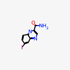 NC(=O)c1cnc2cc(I)ccc2n1